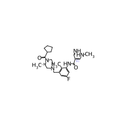 CN/C=C(\C=N)C(=O)Nc1cc(F)cc(CN2CCN(C(=O)C3CCCC3)[C@@H](C)C2)c1C